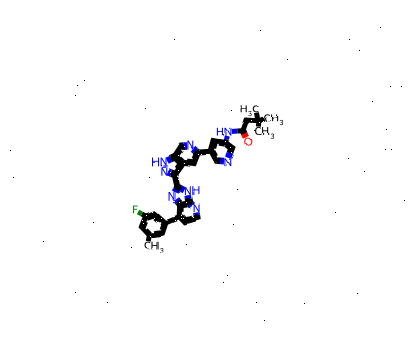 Cc1cc(F)cc(-c2ccnc3[nH]c(-c4n[nH]c5cnc(-c6cncc(NC(=O)CC(C)(C)C)c6)cc45)nc23)c1